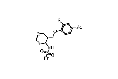 CCS(=O)(=O)NC1CCOCC1COc1ccc(C(C)=O)cc1F